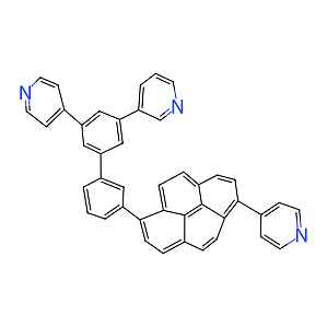 c1cncc(-c2cc(-c3ccncc3)cc(-c3cccc(-c4ccc5ccc6c(-c7ccncc7)ccc7ccc4c5c76)c3)c2)c1